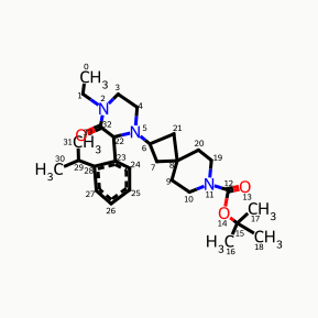 CCN1CCN(C2CC3(CCN(C(=O)OC(C)(C)C)CC3)C2)C(c2ccccc2C(C)C)C1=O